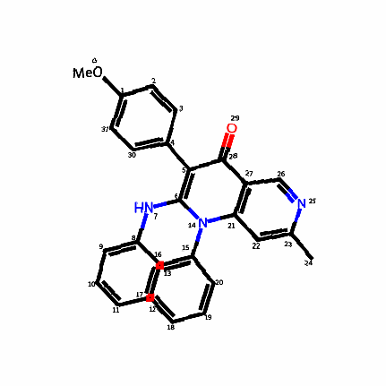 COc1ccc(-c2c(Nc3ccccc3)n(-c3ccccc3)c3cc(C)ncc3c2=O)cc1